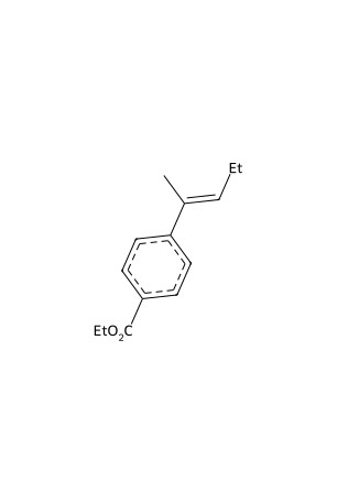 CC/C=C(\C)c1ccc(C(=O)OCC)cc1